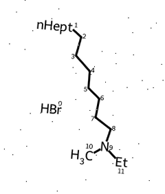 Br.CCCCCCCCCCCCCCN(C)CC